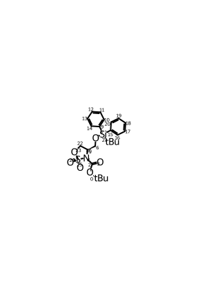 CC(C)(C)OC(=O)N1[C@H](CO[Si](c2ccccc2)(c2ccccc2)C(C)(C)C)COS1(=O)=O